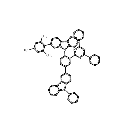 Cc1cc(C)c(-c2ccc3c4ccccc4n(-c4ccc(-c5ccc6c(c5)c5ccccc5n6-c5ccccc5)cc4-c4nc(-c5ccccc5)nc(-c5ccccc5)n4)c3c2)c(C)c1